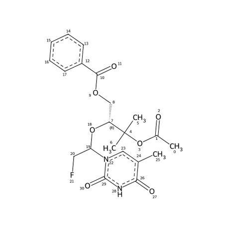 CC(=O)OC(C)(C)[C@@H](COC(=O)c1ccccc1)OC(CF)n1cc(C)c(=O)[nH]c1=O